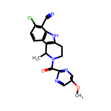 COc1cnc(C(=O)N2CCc3[nH]c4c(C#N)c(Cl)ccc4c3C2C)nc1